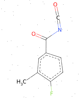 Cc1cc(C(=O)N=C=O)ccc1F